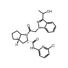 CC(O)c1nn(CC(=O)N2C3CCC[C@H]3C[C@H]2C(=O)Nc2cccc(Cl)n2)c2ccccc12